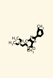 CCN(CC)CCN(C)C(=O)c1sc(-c2cccc(C)c2)nc1C